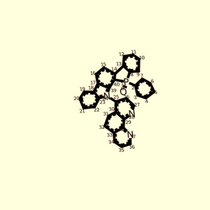 O=P1(c2ccccc2)c2ccccc2-c2ccc3c4ccccc4n(-c4ccnc5c4ccc4cccnc45)c3c21